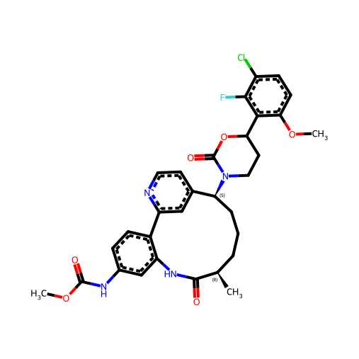 COC(=O)Nc1ccc2c(c1)NC(=O)[C@H](C)CCC[C@H](N1CCC(c3c(OC)ccc(Cl)c3F)OC1=O)c1ccnc-2c1